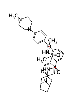 COc1cccc(C(=O)NC2CC3CCC(C2)N3c2ccc(C(=O)NCc3ccc(N4CCN(C)CC4)cc3)cn2)c1C